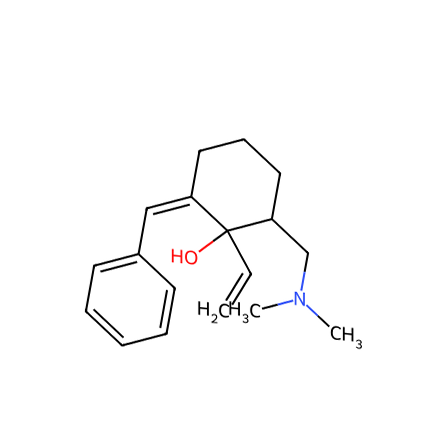 C=CC1(O)/C(=C\c2ccccc2)CCCC1CN(C)C